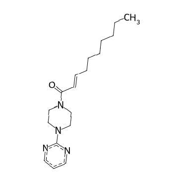 CCCCCCCC=CC(=O)N1CCN(c2ncccn2)CC1